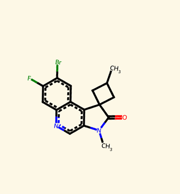 CC1CC2(C1)C(=O)N(C)c1cnc3cc(F)c(Br)cc3c12